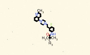 Cc1ccc2c(N3CCN(CCc4cc(NC(=O)C(C)(C)C)ccc4F)CC3)cccc2n1